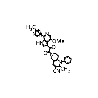 C=C1C(C#N)=CC2=C(CCN(C(=O)C(=O)c3c[nH]c4c(-n5cnc(C)n5)ncc(OC)c34)C2)N1c1ccccc1